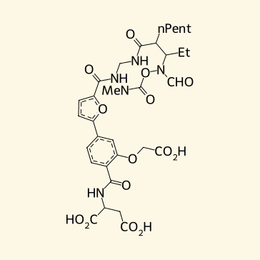 CCCCCC(C(=O)NCNC(=O)c1ccc(-c2ccc(C(=O)NC(CC(=O)O)C(=O)O)c(OCC(=O)O)c2)o1)C(CC)N(C=O)OC(=O)NC